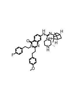 COc1ccc(CCc2nc3cc(N/C(=N/C4C[C@H]5C[C@@H]([C@@H]4C)C5(C)C)N4CCN[C@@H](C)C4)ccc3c(=O)n2CCc2ccc(F)cc2)cc1